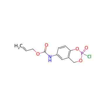 C=CCOC(=O)Nc1ccc2c(c1)COP(=O)(Cl)O2